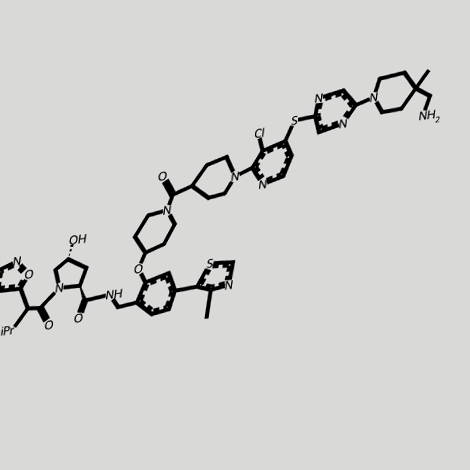 Cc1cc(C(C(=O)N2C[C@H](O)C[C@H]2C(=O)NCc2ccc(-c3scnc3C)cc2OC2CCN(C(=O)C3CCN(c4nccc(Sc5cnc(N6CCC(C)(CN)CC6)cn5)c4Cl)CC3)CC2)C(C)C)on1